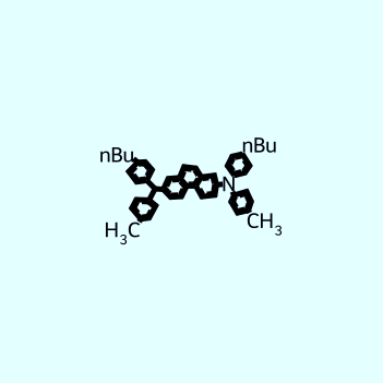 CCCCc1ccc(C(c2ccc(C)cc2)c2ccc3c(ccc4cc(N(c5ccc(C)cc5)c5ccc(CCCC)cc5)ccc43)c2)cc1